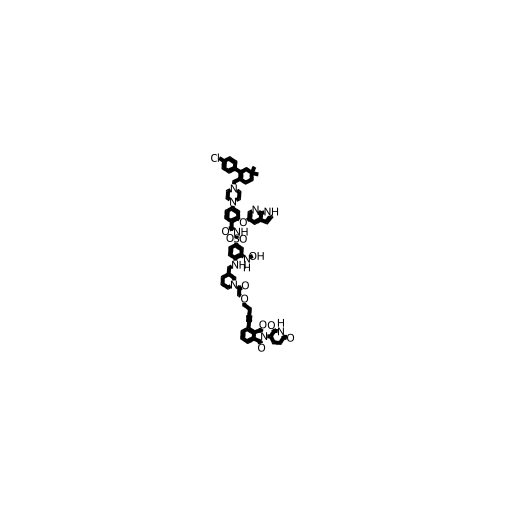 CC1(C)CCC(CN2CCN(c3ccc(C(=O)NS(=O)(=O)c4ccc(NCC5CCCN(C(=O)COCCC#Cc6cccc7c6C(=O)N(C6CCC(=O)NC6=O)C7=O)C5)c(NO)c4)c(Oc4cnc5[nH]ccc5c4)c3)CC2)=C(c2ccc(Cl)cc2)C1